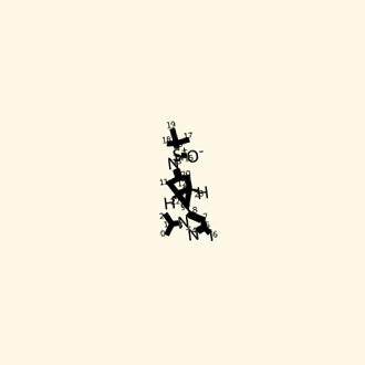 CC(C)n1nc(I)cc1[C@@H]1[C@@H]2CC(=N[S+]([O-])C(C)(C)C)C[C@@H]21